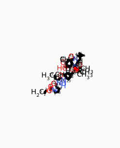 C=CCOC(=O)N1CCC[C@H]1C(=O)N[C@@H](CC(C)C)C(=O)Nc1ccc(COC(=O)N2c3cc(O)c(OC)cc3C(=O)N3CC4(CC4)C[C@H]3C2O[Si](C)(C)C(C)(C)C)cc1